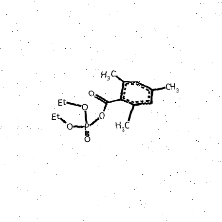 CCOP(=O)(OCC)OC(=O)c1c(C)cc(C)cc1C